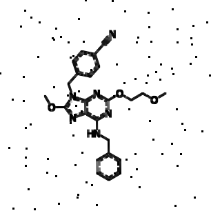 COCCOc1nc(NCc2ccccc2)c2nc(OC)n(Cc3ccc(C#N)cc3)c2n1